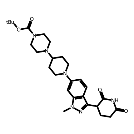 Cn1nc(C2CCC(=O)NC2=O)c2ccc(N3CCC(N4CCN(C(=O)OC(C)(C)C)CC4)CC3)cc21